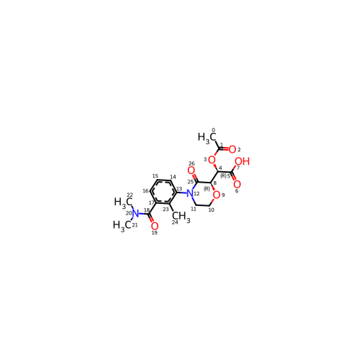 CC(=O)O[C@@H](C(=O)O)[C@H]1OCCN(c2cccc(C(=O)N(C)C)c2C)C1=O